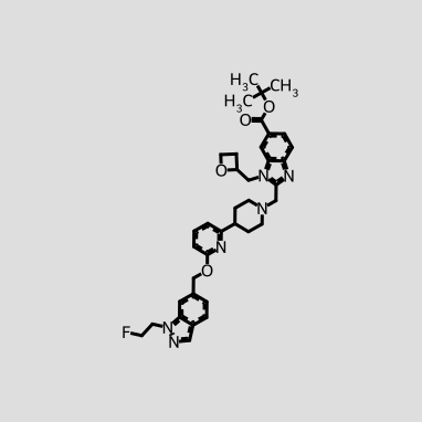 CC(C)(C)OC(=O)c1ccc2nc(CN3CCC(c4cccc(OCc5ccc6cnn(CCF)c6c5)n4)CC3)n(CC3CCO3)c2c1